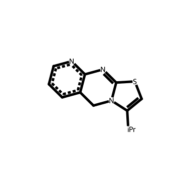 CC(C)C1=CSC2=Nc3ncccc3CN12